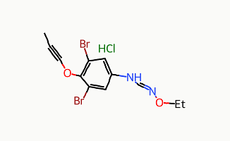 CC#COc1c(Br)cc(NC=NOCC)cc1Br.Cl